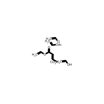 C=CCl.C=CO.C=COC(=O)C=CC(=O)O.C=COC(C)=O